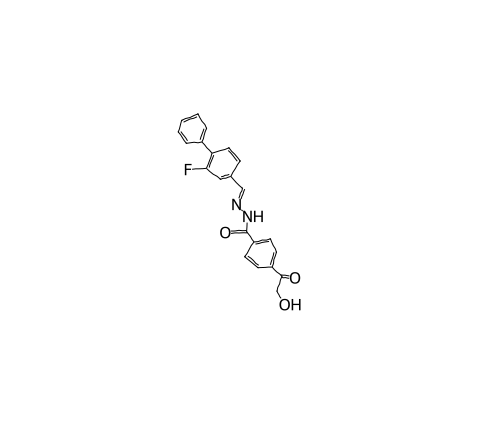 O=C(CO)c1ccc(C(=O)N/N=C/c2ccc(-c3ccccc3)c(F)c2)cc1